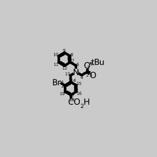 CC(C)(C)OC(=O)CN(Cc1ccccc1)Cc1ccc(C(=O)O)cc1Br